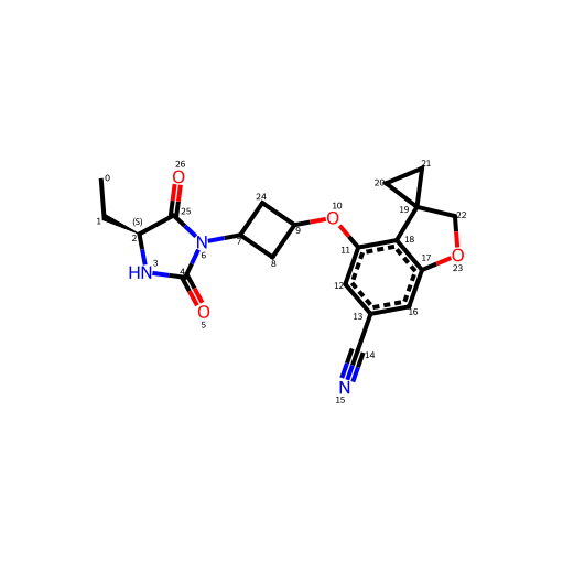 CC[C@@H]1NC(=O)N(C2CC(Oc3cc(C#N)cc4c3C3(CC3)CO4)C2)C1=O